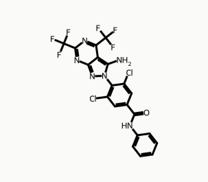 Nc1c2c(C(F)(F)F)nc(C(F)(F)F)nc2nn1-c1c(Cl)cc(C(=O)Nc2ccccc2)cc1Cl